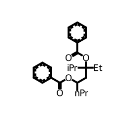 CCCC(CC(CC)(OC(=O)c1ccccc1)C(C)C)OC(=O)c1ccccc1